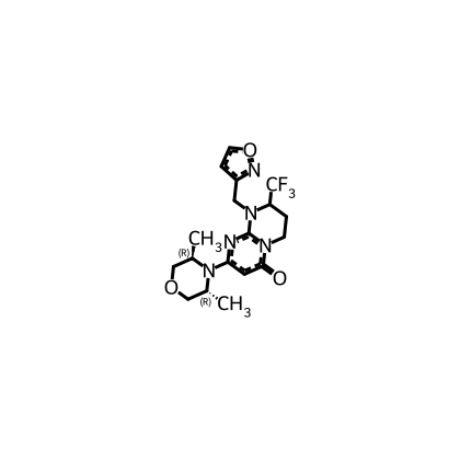 C[C@@H]1COC[C@@H](C)N1c1cc(=O)n2c(n1)N(Cc1ccon1)C(C(F)(F)F)CC2